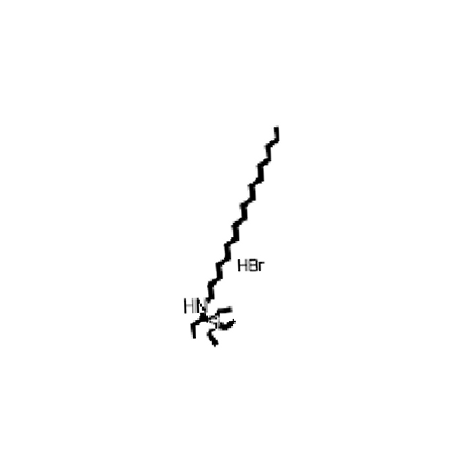 Br.CCCCCCCCCCCCCCCCCCNC(CC)[Si](CC)(CC)CC